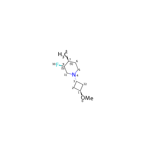 CO[C@H]1C[C@H](N2CC[C@H](C)[C@H](F)C2)C1